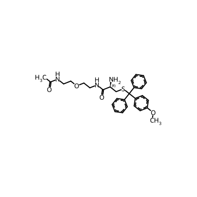 COc1ccc(C(SC[C@H](N)C(=O)NCCOCCNC(C)=O)(c2ccccc2)c2ccccc2)cc1